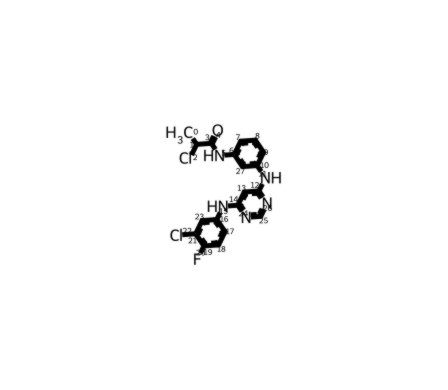 CC(Cl)C(=O)Nc1cccc(Nc2cc(Nc3ccc(F)c(Cl)c3)ncn2)c1